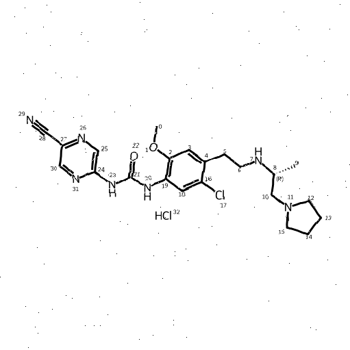 COc1cc(CCN[C@H](C)CN2CCCC2)c(Cl)cc1NC(=O)Nc1cnc(C#N)cn1.Cl